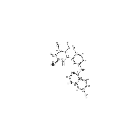 CCC1C(c2cc(Nc3ncnc4cc(Br)cnc34)ccc2F)NC(=N)N(C)[S+]1[O-]